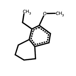 CCc1c(OC)ccc2c1CCCC2